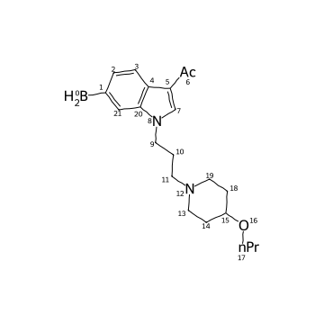 Bc1ccc2c(C(C)=O)cn(CCCN3CCC(OCCC)CC3)c2c1